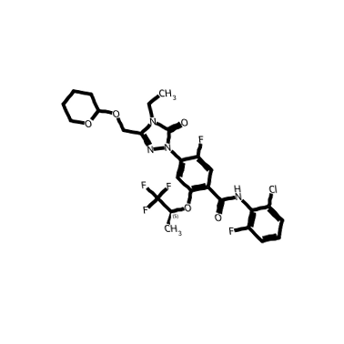 CCn1c(COC2CCCCO2)nn(-c2cc(O[C@@H](C)C(F)(F)F)c(C(=O)Nc3c(F)cccc3Cl)cc2F)c1=O